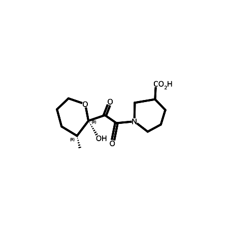 C[C@@H]1CCCO[C@@]1(O)C(=O)C(=O)N1CCCC(C(=O)O)C1